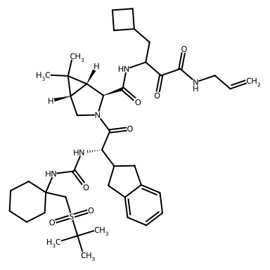 C=CCNC(=O)C(=O)C(CC1CCC1)NC(=O)[C@@H]1[C@@H]2[C@H](CN1C(=O)[C@@H](NC(=O)NC1(CS(=O)(=O)C(C)(C)C)CCCCC1)C1Cc3ccccc3C1)C2(C)C